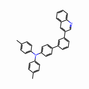 Cc1ccc(N(c2ccc(C)cc2)c2ccc(-c3cccc(-c4cnc5ccccc5c4)c3)cc2)cc1